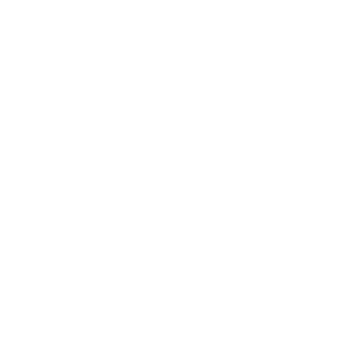 CCC=C1CCCCCC1